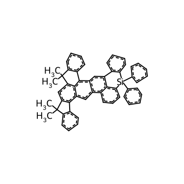 CC1(C)c2ccccc2-c2c1cc1c3c(c4cc5c6c(cccc6c4cc23)[Si](c2ccccc2)(c2ccccc2)c2ccccc2-5)-c2ccccc2C1(C)C